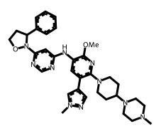 COc1nc(N2CCC(N3CCN(C)CC3)CC2)c(-c2cnn(C)c2)cc1Nc1cc(N2OCCC2c2ccccc2)ncn1